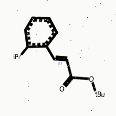 CC(C)c1ccccc1/C=C/C(=O)OC(C)(C)C